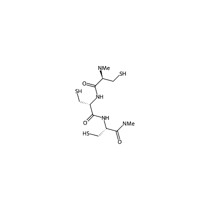 CNC(=O)[C@H](CS)NC(=O)[C@H](CS)NC(=O)[C@H](CS)NC